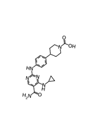 NC(=O)c1cnc(Nc2ccc(C3CCN(C(=O)O)CC3)cc2)nc1NC1CC1